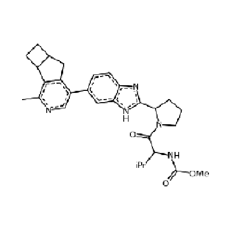 COC(=O)NC(C(=O)N1CCCC1c1nc2ccc(-c3cnc(C)c4c3CC3CCC43)cc2[nH]1)C(C)C